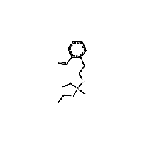 C=Cc1ccccc1CCO[Si](C)(CC)OCC